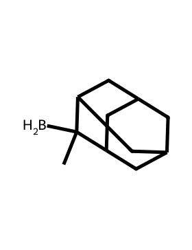 BC1(C)C2CC3CC(C2)CC1C3